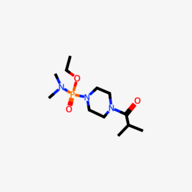 CCOP(=O)(N(C)C)N1CCN(C(=O)C(C)C)CC1